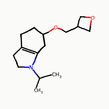 CC(C)N1CCC2=C1CC(OCC1COC1)CC2